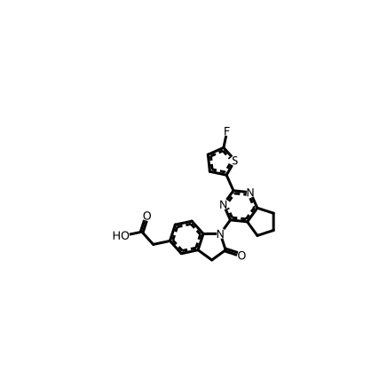 O=C(O)Cc1ccc2c(c1)CC(=O)N2c1nc(-c2ccc(F)s2)nc2c1CCC2